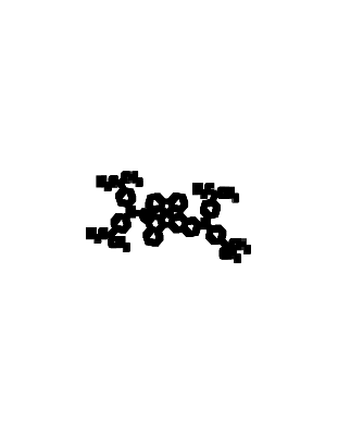 CC(C)c1ccc(N(c2ccc(C(C)C)cc2)c2ccc3cc4c(cc3c2)C2(c3ccccc3-c3ccccc32)c2c-4c3ccccc3c3cc(N(c4ccc(C(C)C)cc4)c4ccc(C(C)C)cc4)ccc23)cc1